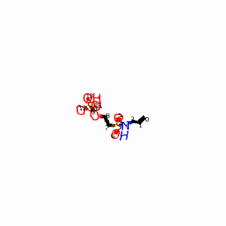 C=CCNS(=O)(=O)CCOS(=O)(=O)O